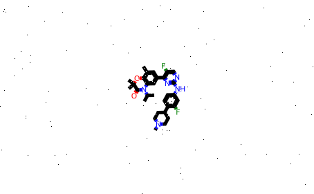 Cc1cc(-c2nc(Nc3ccc(C4CCN(C)CC4)c(F)c3)ncc2F)cc2c1OC(C)(C)C(=O)N2C(C)C